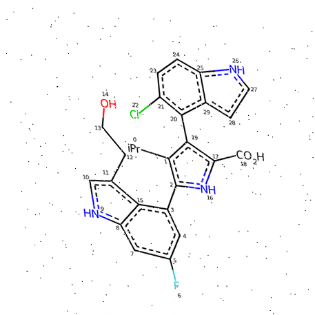 CC(C)c1c(-c2cc(F)cc3[nH]cc(CCO)c23)[nH]c(C(=O)O)c1-c1c(Cl)ccc2[nH]ccc12